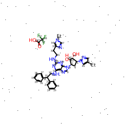 CCc1cnn([C@H]2C[C@@H](n3cnc4c(NCC(c5ccccc5)c5ccccc5)nc(NCCc5cn(CC)cn5)nc43)[C@H](O)[C@@H]2O)c1.O=C(O)C(F)(F)F